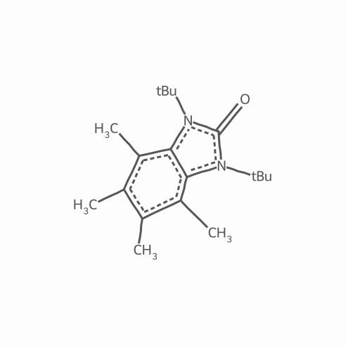 Cc1c(C)c(C)c2c(c1C)n(C(C)(C)C)c(=O)n2C(C)(C)C